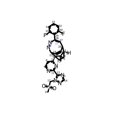 CC1(C)[C@H]2CC[C@]1(c1ccnc(-c3ncnn3CS(C)(=O)=O)n1)C1C#CC2/C=C(c2c(F)cccc2F)\N=N/1